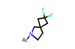 CC(=O)N1CCC2(C1)CC(F)(F)C2